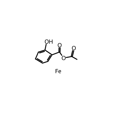 CC(=O)OC(=O)c1ccccc1O.[Fe]